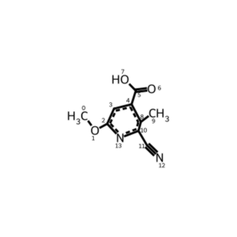 COc1cc(C(=O)O)c(C)c(C#N)n1